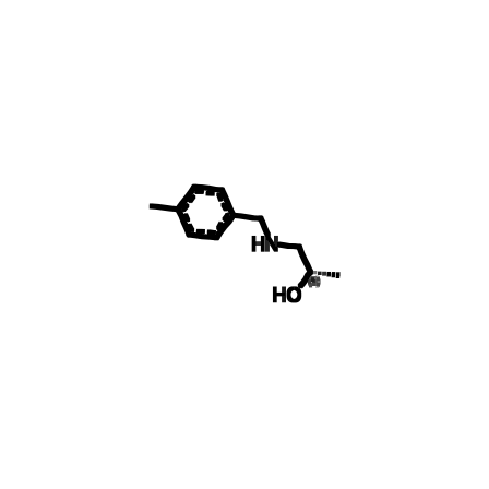 Cc1ccc(CNC[C@H](C)O)cc1